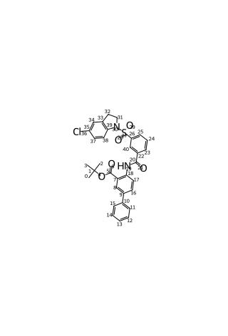 CC(C)(C)OC(=O)c1cc(-c2ccccc2)ccc1NC(=O)c1cccc(S(=O)(=O)N2CCc3cc(Cl)ccc32)c1